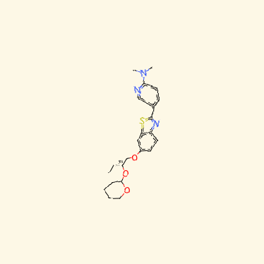 CC[C@H](COc1ccc2nc(-c3ccc(N(C)C)nc3)sc2c1)OC1CCCCO1